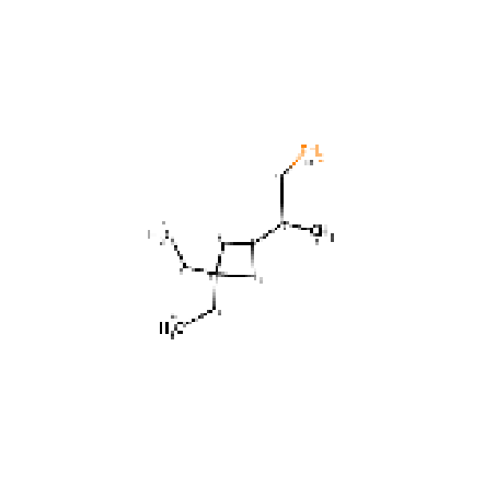 CCC1(CC)CC(C(C)CP)C1